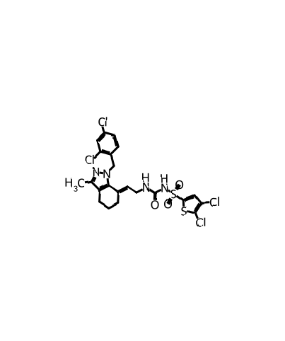 Cc1nn(Cc2ccc(Cl)cc2Cl)c2c1CCC/C2=C\CNC(=O)NS(=O)(=O)c1cc(Cl)c(Cl)s1